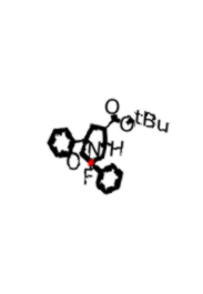 CC(C)(C)OC(=O)[C@@H]1C[C@@]2(c3ccccc3)C(=O)[C@@H](F)C[C@@H]1N2Cc1ccccc1